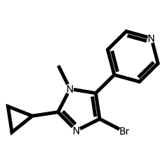 Cn1c(C2CC2)nc(Br)c1-c1ccncc1